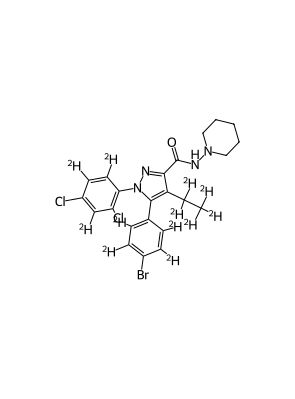 [2H]c1c([2H])c(-n2nc(C(=O)NN3CCCCC3)c(C([2H])([2H])C([2H])([2H])[2H])c2-c2c([2H])c([2H])c(Br)c([2H])c2[2H])c(Cl)c([2H])c1Cl